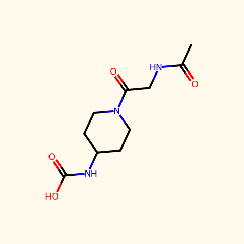 CC(=O)NCC(=O)N1CCC(NC(=O)O)CC1